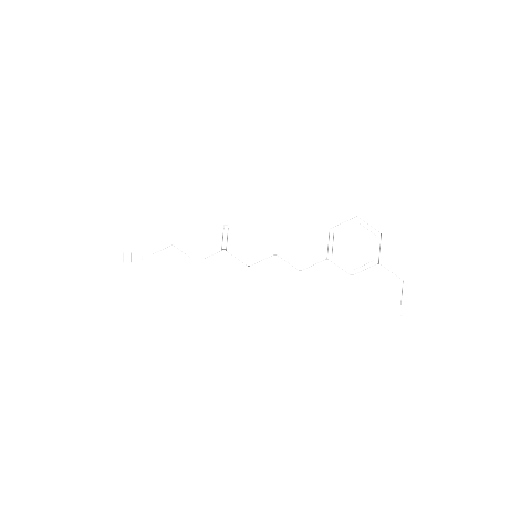 CCOC(=O)CCCc1cccc(CCl)c1